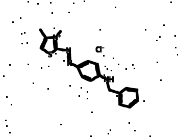 Cc1csc(/N=N/c2ccc(NCc3ccccc3)cc2)[n+]1C.[Cl-]